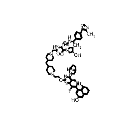 CCc1cccc2cc(O)cc(-c3ncc4c(N5CC6CCC(C5)N6)nc(OCCN5CCC(CC6CCN(CC(=O)NC(C(=O)N7C[C@H](O)C[C@H]7C(=O)NC(C)c7ccc(-c8scnc8C)cc7)C(C)(C)C)CC6)CC5)nc4c3F)c12